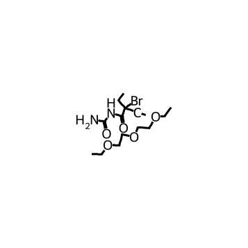 CCC(Br)(CC)C(=O)NC(N)=O.CCOCCOCCOCC